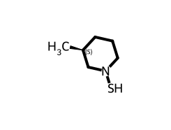 C[C@H]1CCCN(S)C1